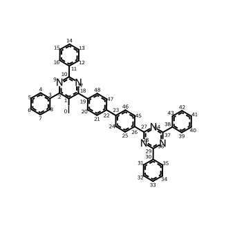 Ic1c(-c2ccccc2)nc(-c2ccccc2)nc1-c1ccc(-c2ccc(-c3nc(-c4ccccc4)nc(-c4ccccc4)n3)cc2)cc1